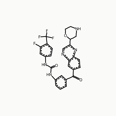 O=C(Nc1cccc(C(=O)c2ccc3nc(C4CNCCO4)cnc3c2)c1)Nc1ccc(C(F)(F)F)c(F)c1